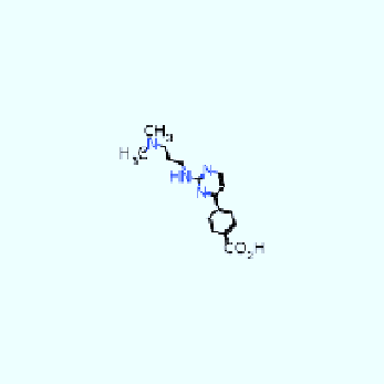 CN(C)CCCNc1nccc(-c2ccc(C(=O)O)cc2)n1